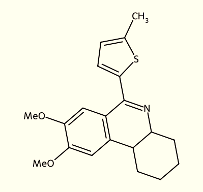 COc1cc2c(cc1OC)C1CCCCC1N=C2c1ccc(C)s1